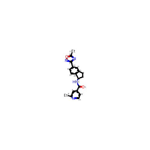 CCc1cc(C(=O)NC2CCc3cc(-c4noc(CC)n4)ccc32)ccn1